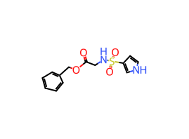 O=C(CNS(=O)(=O)c1cc[nH]c1)OCc1ccccc1